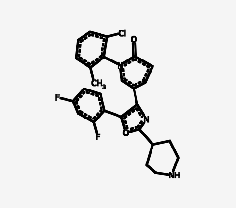 Cc1cccc(Cl)c1-n1cc(-c2nc(C3CCNCC3)oc2-c2ccc(F)cc2F)ccc1=O